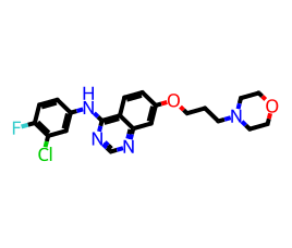 Fc1ccc(Nc2ncnc3cc(OCCCN4CCOCC4)ccc23)cc1Cl